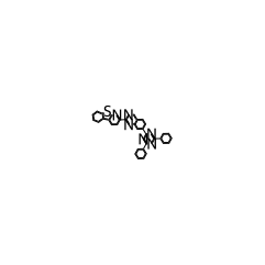 c1ccc(-c2nc(-c3ccccc3)nc(-c3ccc4cnc(-c5ccc6c(n5)sc5ccccc56)nc4c3)n2)cc1